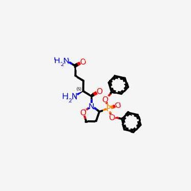 NC(=O)CC[C@H](N)C(=O)N1OCCC1P(=O)(Oc1ccccc1)Oc1ccccc1